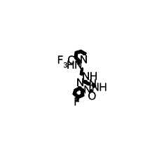 O=c1[nH]nc2c(NCCNc3ncccc3C(F)(F)F)nc3ccc(F)cc3n12